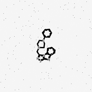 c1ccc(N2CCN(Cc3nsc4nc5ccccc5n34)CC2)cc1